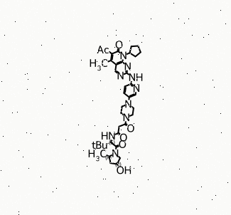 CC(=O)c1c(C)c2cnc(Nc3ccc(N4CCN(C(=O)CC(=O)N[C@H](C(=O)N5C[C@H](O)C[C@H]5C)C(C)(C)C)CC4)cn3)nc2n(C2CCCC2)c1=O